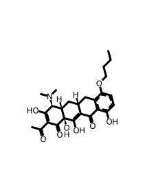 CCCCOc1ccc(O)c2c1C[C@H]1C[C@H]3[C@H](N(C)C)C(O)=C(C(C)=O)C(=O)[C@@]3(O)C(O)=C1C2=O